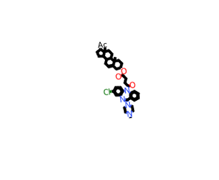 CC(=O)C1CCC2C3CC=C4CC(OC(=O)CCC(=O)N5c6ccc(Cl)cc6N=C(N6CCN(C)CC6)c6ccccc65)CCC4(C)C3CCC12C